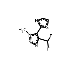 Cn1nnc(C(F)F)c1-c1nccs1